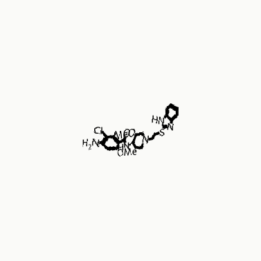 COc1cc(N)c(Cl)cc1C(=O)N[C@@H]1CCN(CCSc2nc3ccccc3[nH]2)C[C@@H]1OC